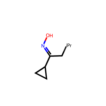 CC(C)CC(=NO)C1CC1